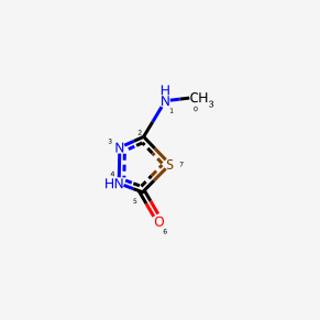 CNc1n[nH]c(=O)s1